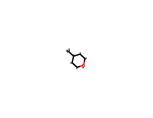 [2H]C1CCOCC1